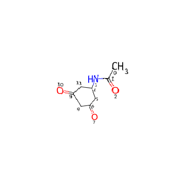 CC(=O)NC1CC(=O)CC(=O)C1